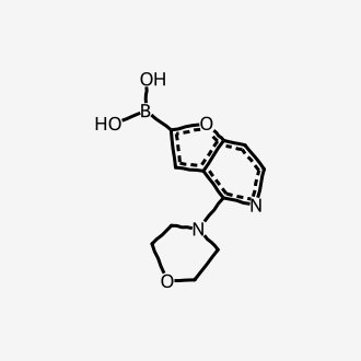 OB(O)c1cc2c(N3CCOCC3)nccc2o1